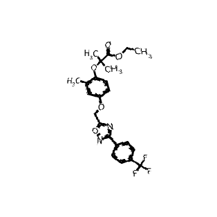 CCOC(=O)C(C)(C)Oc1ccc(OCc2nc(-c3ccc(C(F)(F)F)cc3)no2)cc1C